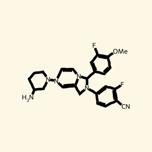 COc1ccc(C2N3C=CN(N4CCCC(N)C4)C=C3CN2c2ccc(C#N)c(F)c2)cc1F